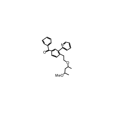 COC(C)CC(C)OCCc1ccc(C(=O)c2ccccc2)cc1-c1ccccn1